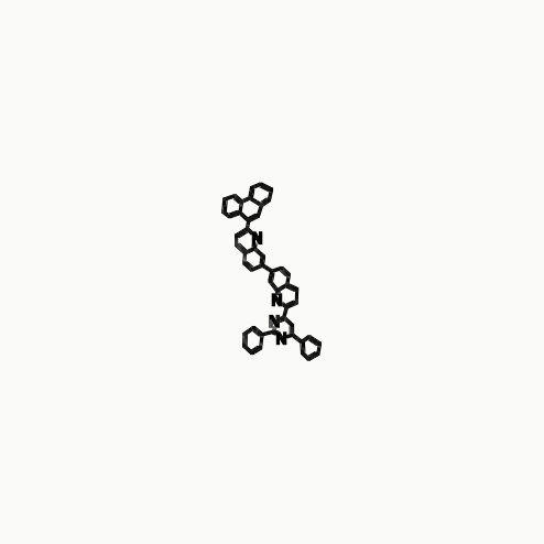 c1ccc(-c2cc(-c3ccc4ccc(-c5ccc6ccc(-c7cc8ccccc8c8ccccc78)nc6c5)cc4n3)nc(-c3ccccc3)n2)cc1